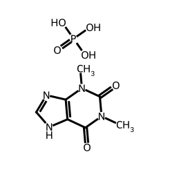 Cn1c(=O)c2[nH]cnc2n(C)c1=O.O=P(O)(O)O